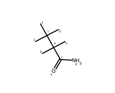 [CH2]C(C)(C)C(C)(C)C(N)=O